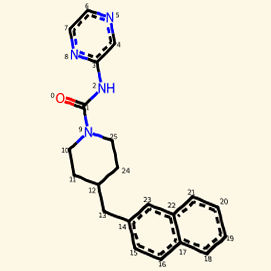 O=C(Nc1cnccn1)N1CCC(Cc2ccc3ccccc3c2)CC1